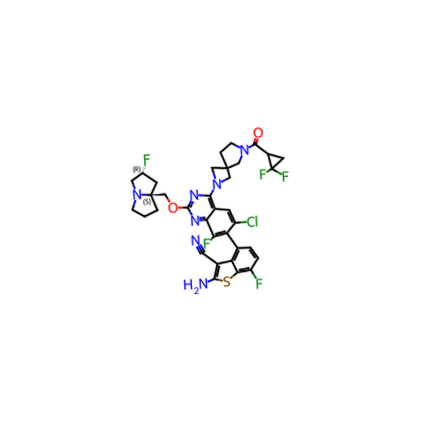 N#Cc1c(N)sc2c(F)ccc(-c3c(Cl)cc4c(N5CC6(CCN(C(=O)C7CC7(F)F)C6)C5)nc(OC[C@@]56CCCN5C[C@H](F)C6)nc4c3F)c12